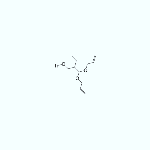 C=CCOC(OCC=C)C(CC)C[O][Ti]